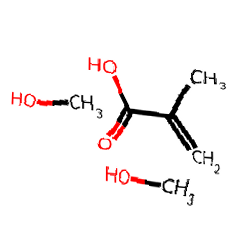 C=C(C)C(=O)O.CO.CO